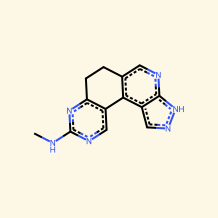 CNc1ncc2c(n1)CCc1cnc3[nH]ncc3c1-2